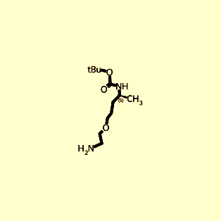 C[C@@H](CCCOCCN)NC(=O)OC(C)(C)C